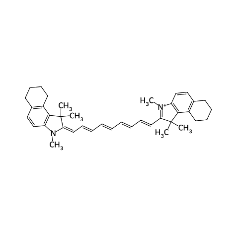 CN1/C(=C/C=C/C=C/C=C/C=C/C2=[N+](C)c3ccc4c(c3C2(C)C)CCCC4)C(C)(C)c2c1ccc1c2CCCC1